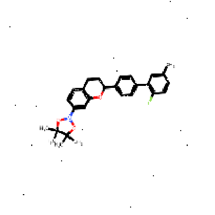 Cc1ccc(F)c(-c2ccc(C3CCc4ccc(N5OC(C)(C)C(C)(C)O5)cc4O3)cc2)c1